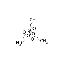 CCCC(=O)[O][V]([O]C(=O)CCC)[O]C(=O)CCC